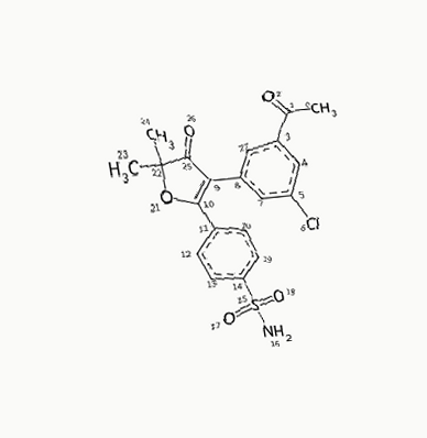 CC(=O)c1cc(Cl)cc(C2=C(c3ccc(S(N)(=O)=O)cc3)OC(C)(C)C2=O)c1